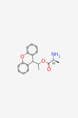 CC(OC(=O)[C@H](C)N)C1c2ccccc2Oc2ccccc21